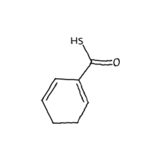 O=C(S)C1=CCCC=C1